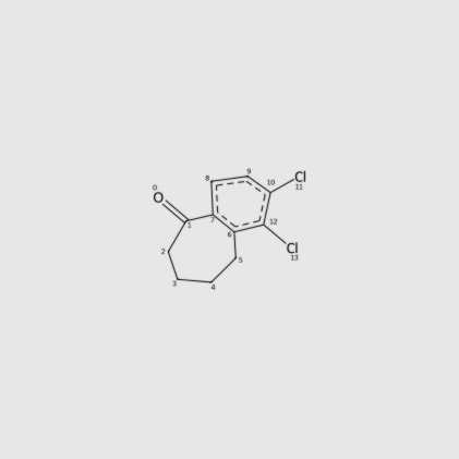 O=C1CCCCc2c1ccc(Cl)c2Cl